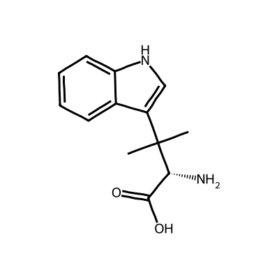 CC(C)(c1c[nH]c2ccccc12)[C@H](N)C(=O)O